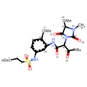 CCCCCCCCCCCCS(=O)(=O)Nc1ccc(OC)c(NC(=O)C(C(=O)C(C)(C)C)N2C(=O)C(OC)N(C)C2=O)c1